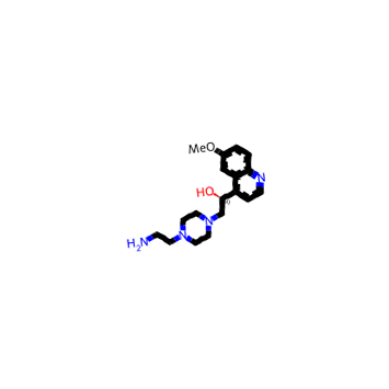 COc1ccc2nccc([C@@H](O)CN3CCN(CCN)CC3)c2c1